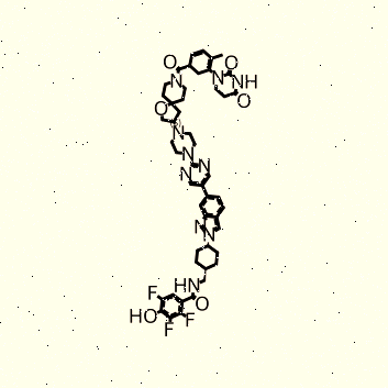 CC1=C(N2CCC(=O)NC2=O)CC(C(=O)N2CCC3(CC2)C[C@H](N2CCN(c4ncc(-c5ccc6cn([C@H]7CC[C@H](CNC(=O)c8cc(F)c(O)c(F)c8F)CC7)nc6c5)cn4)CC2)CO3)C=C1